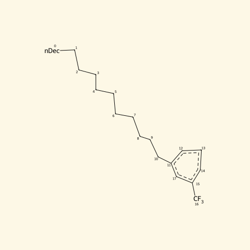 CCCCCCCCCCCCCCCCCCCCc1cccc(C(F)(F)F)c1